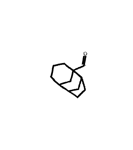 O=[C]C12CCCC(C1)C1CCC2C1